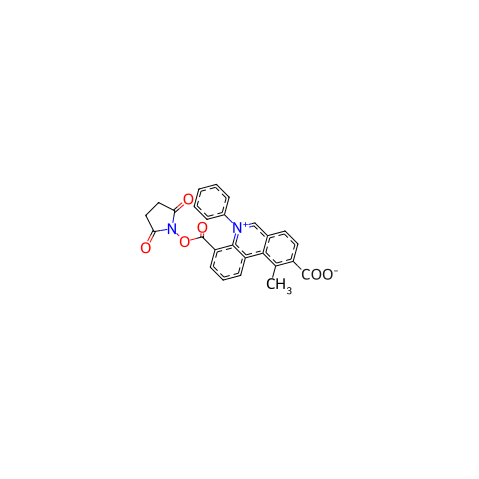 Cc1c(C(=O)[O-])ccc2c[n+](-c3ccccc3)c3c(C(=O)ON4C(=O)CCC4=O)cccc3c12